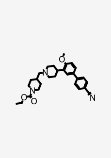 CCOC(=O)N1CCC(CN2CCC(c3cc(-c4ccc(C#N)cc4)ccc3OC)CC2)CC1